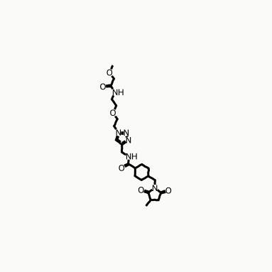 COCC(=O)NCCOCCn1cc(CNC(=O)C2CCC(CN3C(=O)CC(C)C3=O)CC2)nn1